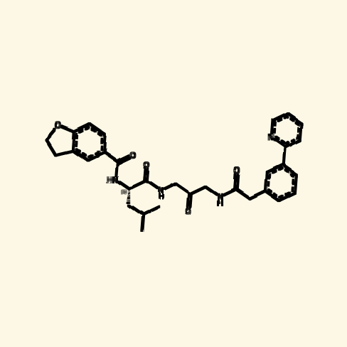 CC(C)C[C@H](NC(=O)c1ccc2c(c1)CCO2)C(=O)NCC(=O)CNC(=O)Cc1cccc(-c2ccccn2)c1